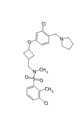 Cc1c(Cl)cccc1S(=O)(=O)N(C)CC1CC(Oc2ccc(CN3CCCC3)c(Cl)c2)C1